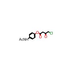 CC(=O)Nc1ccc(OC(=O)CC(=O)CCl)cc1